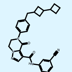 N#Cc1cccc(NC(=O)c2cnn3c2C(=O)N(c2ccc(CC4CC(C5CCC5)C4)cc2)CC3)c1